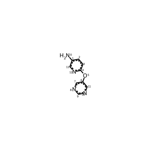 Nc1ccc(Oc2cncnc2)nc1